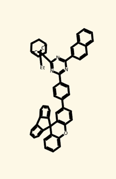 CCC1(c2nc(-c3ccc(-c4ccc5c(c4)C4(c6ccccc6O5)c5ccccc5-c5ccccc54)cc3)nc(-c3ccc4ccccc4c3)n2)CC2CCC(CC2)C1